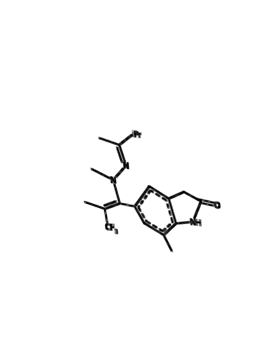 C/C(=N\N(C)/C(=C(\C)C(F)(F)F)c1cc(C)c2c(c1)CC(=O)N2)C(C)C